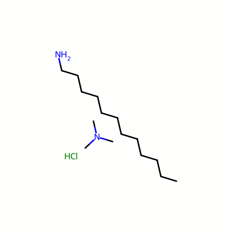 CCCCCCCCCCCCN.CN(C)C.Cl